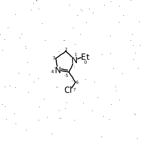 CCN1CCN=C1CCl